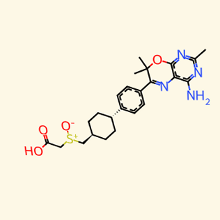 Cc1nc(N)c2c(n1)OC(C)(C)C(c1ccc([C@H]3CC[C@H](C[S+]([O-])CC(=O)O)CC3)cc1)=N2